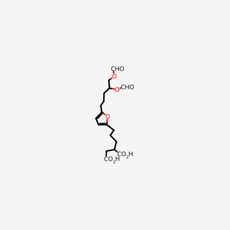 O=COCC(CCCc1ccc(CCCC(CC(=O)O)C(=O)O)o1)OC=O